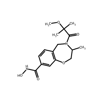 COC(C)(C)C(=O)N1Cc2ccc(C(=O)NO)cc2OCC1C